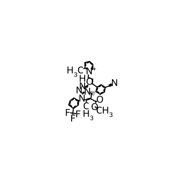 COC(=O)C1=C(C)N(c2cccc(C(F)(F)F)c2)c2n[nH]c(=O)n2[C@@H]1c1ccc(C#N)cc1CCC[n+]1ccccc1C